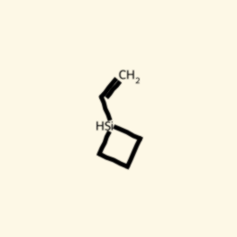 C=C[SiH]1CCC1